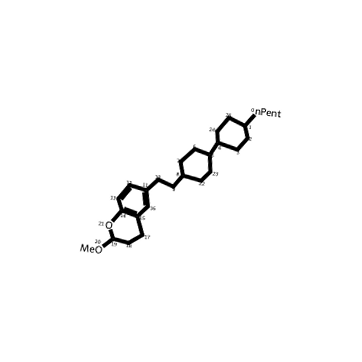 CCCCCC1CCC(C2CCC(CCc3ccc4c(c3)CCC(OC)O4)CC2)CC1